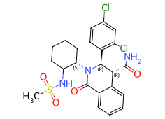 CS(=O)(=O)NC1CCCC[C@@H]1N1C(=O)c2ccccc2[C@@H](C(N)=O)[C@@H]1c1ccc(Cl)cc1Cl